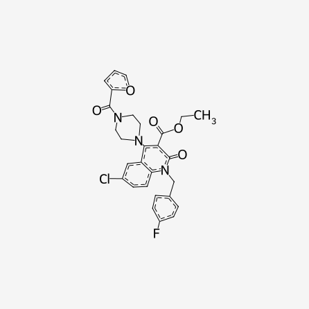 CCOC(=O)c1c(N2CCN(C(=O)c3ccco3)CC2)c2cc(Cl)ccc2n(Cc2ccc(F)cc2)c1=O